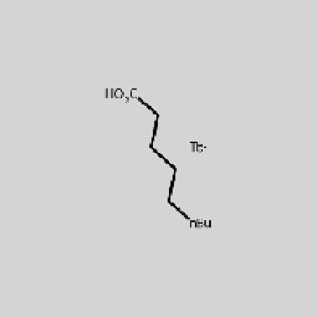 CCCCCCCCC(=O)O.[Tb]